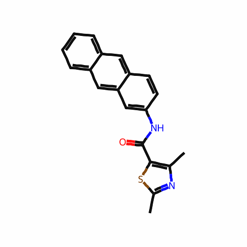 Cc1nc(C)c(C(=O)Nc2ccc3cc4ccccc4cc3c2)s1